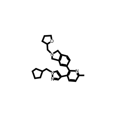 Cc1ccc(-c2cnn(CC3CCCC3)c2)c(-c2ccc3c(c2)CN(CC2CCCO2)C3)n1